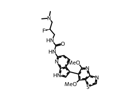 COc1nc2ncsc2c(OC)c1-c1c[nH]c2nc(NC(=O)NC[C@@H](F)CN(C)C)ccc12